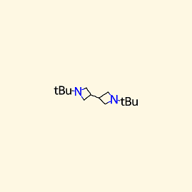 CC(C)(C)N1CC(C2CN(C(C)(C)C)C2)C1